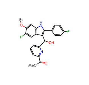 CCOc1cc2[nH]c(-c3ccc(F)cc3)c(C(O)c3cccc(C(=O)OC)n3)c2cc1F